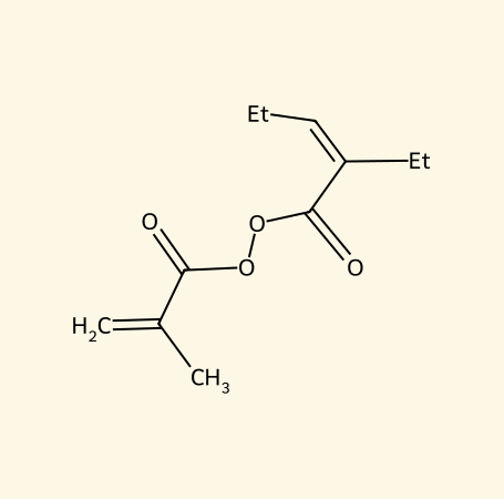 C=C(C)C(=O)OOC(=O)C(=CCC)CC